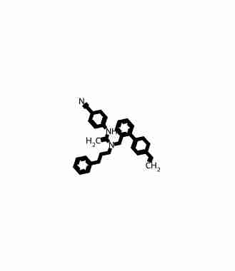 C=CC1=CC=C(c2ccccc2CN(CCCc2ccccc2)C(=C)NC2=CCC(C#N)C=C2)CC1